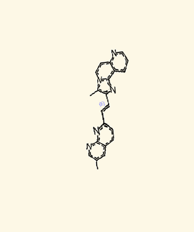 Cc1cnc2nc(/C=C/c3nc4c5cccnc5ccn4c3C)ccc2c1